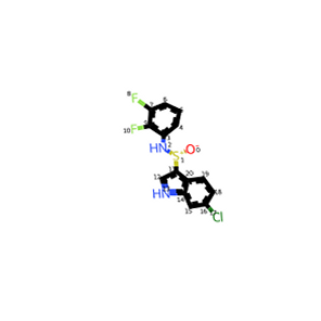 [O-][S+](Nc1cccc(F)c1F)c1c[nH]c2cc(Cl)ccc12